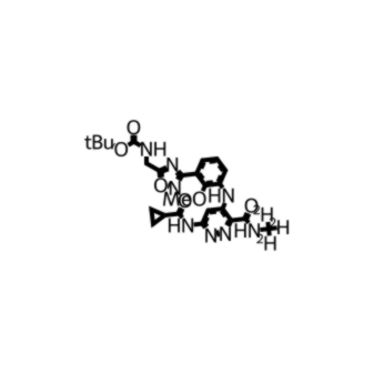 [2H]C([2H])([2H])NC(=O)c1nnc(NC(=O)C2CC2)cc1Nc1cccc(-c2noc(CNC(=O)OC(C)(C)C)n2)c1OC